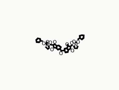 O=C(c1ccc2c(c1)C(=O)C(C(=O)[C@@H]1CCCN1C(=O)OCc1ccccc1)C2=O)c1ccc2c(c1)C(=O)C(C(=O)[C@@H]1CCCN1C(=O)OCc1ccccc1)C2=O